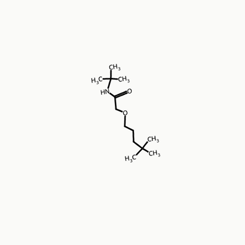 CC(C)(C)CCCOCC(=O)NC(C)(C)C